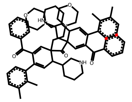 Cc1cccc(C2=CC(C3CCCNC3)C(CCN3CCOCC3)(C(=O)C3(CCN4CCOCC4)C=C(C(=O)c4ccccc4)C(c4cccc(C)c4C)=CC3C3CCCNC3)C=C2C(=O)c2ccccc2)c1C